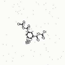 O=C([O-])OC(=O)c1cccc(C(=O)OC(=O)[O-])c1.[Na+].[Na+]